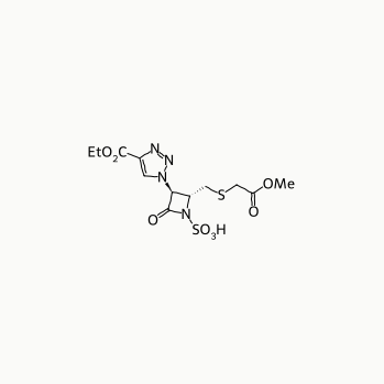 CCOC(=O)c1cn([C@@H]2C(=O)N(S(=O)(=O)O)[C@H]2CSCC(=O)OC)nn1